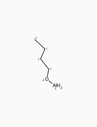 CCCC[O][AlH2]